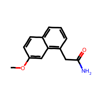 COc1ccc2cccc(CC(N)=O)c2c1